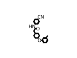 Cc1cccc(O[C@@H]2CC=C(CC(=O)Nc3ccc(C#N)cc3)CC2)c1